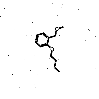 CCCCOc1ccccc1COC